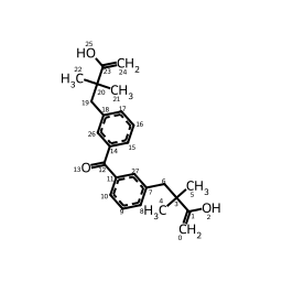 C=C(O)C(C)(C)Cc1cccc(C(=O)c2cccc(CC(C)(C)C(=C)O)c2)c1